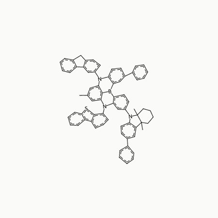 Cc1cc2c3c(c1)N(c1cccc4c1sc1ccccc14)c1cc(N4c5ccc(-c6ccccc6)cc5C5(C)CCCCC45C)ccc1B3c1cc(-c3ccccc3)ccc1N2c1ccc2c(c1)-c1ccccc1C2